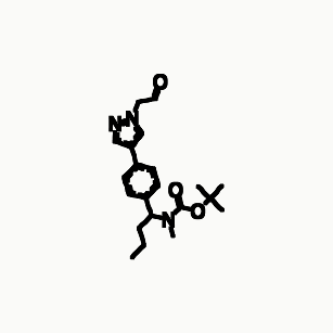 CCCC(c1ccc(-c2cnn(CC=O)c2)cc1)N(C)C(=O)OC(C)(C)C